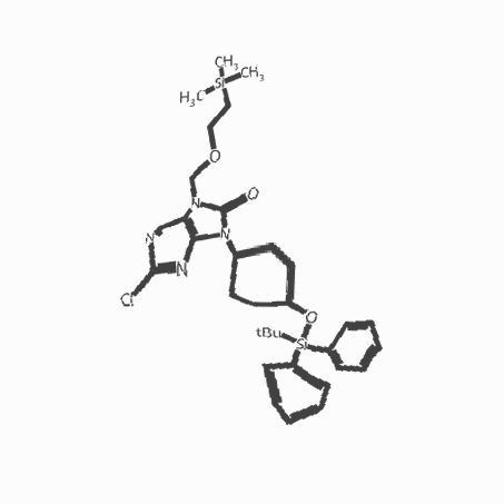 CC(C)(C)[Si](OC1CCC(n2c(=O)n(COCC[Si](C)(C)C)c3cnc(Cl)nc32)CC1)(c1ccccc1)c1ccccc1